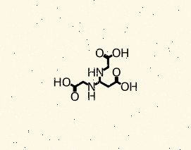 O=C(O)CNC(CC(=O)O)NCC(=O)O